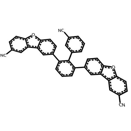 N#Cc1cccc(-c2c(-c3ccc4oc5ccc(C#N)cc5c4c3)cccc2-c2ccc3oc4ccc(C#N)cc4c3c2)c1